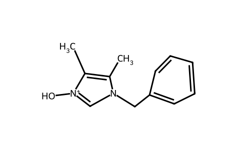 Cc1c(C)[n+](O)cn1Cc1ccccc1